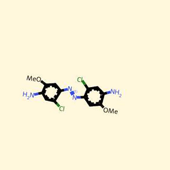 COc1cc(/N=N/c2cc(OC)c(N)cc2Cl)c(Cl)cc1N